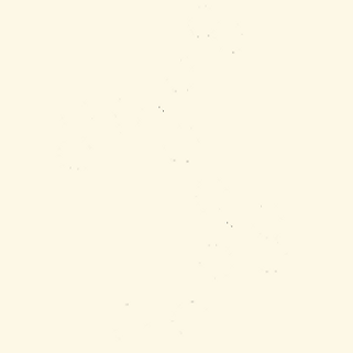 c1ccc(-c2cccc(-c3ccc(N(c4ccc(-c5ccc(N(c6ccc(-c7cccc8ccccc78)cc6)c6ccc(-c7cccc8ccccc78)cc6)cc5)cc4)c4cccc5ccccc45)cc3)c2)cc1